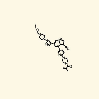 C=C(C)C(=O)N1CCN(c2ccc(-c3cc(-c4cnn(C5CCN(COCC)CC5)c4)cn4ncc(C#N)c34)cn2)CC1